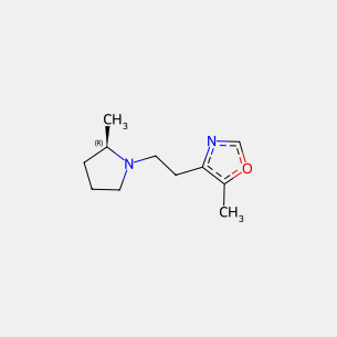 Cc1ocnc1CCN1CCC[C@H]1C